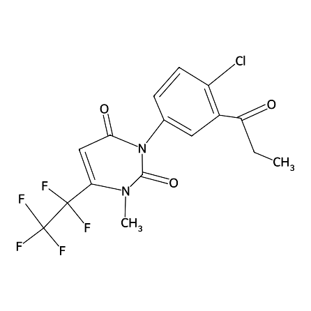 CCC(=O)c1cc(-n2c(=O)cc(C(F)(F)C(F)(F)F)n(C)c2=O)ccc1Cl